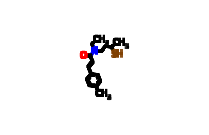 CCN(CCC(C)S)C(=O)/C=C/c1ccc(C)cc1